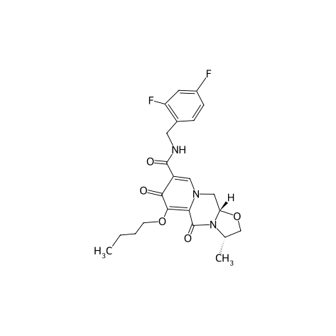 CCCCOc1c2n(cc(C(=O)NCc3ccc(F)cc3F)c1=O)C[C@@H]1OC[C@H](C)N1C2=O